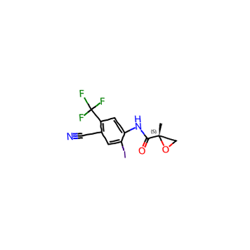 C[C@@]1(C(=O)Nc2cc(C(F)(F)F)c(C#N)cc2I)CO1